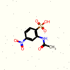 CC(=O)Nc1cc([N+](=O)[O-])ccc1S(=O)(=O)O